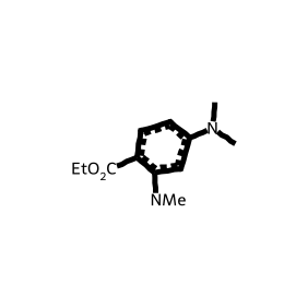 CCOC(=O)c1ccc(N(C)C)cc1NC